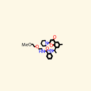 COCCOCCNC(=O)c1ccccc1NC(C)c1cc(C)cc2c(=O)cc(N3CCCCC3)oc12